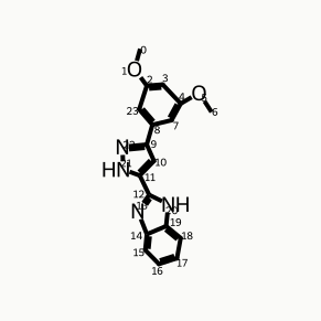 COc1cc(OC)cc(-c2cc(-c3nc4ccccc4[nH]3)[nH]n2)c1